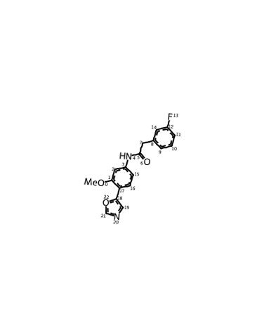 COc1cc(NC(=O)Cc2cccc(F)c2)ccc1-c1cnco1